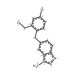 Cn1nnc2ccc(Cc3ccc(Cl)cc3CCl)cc21